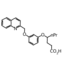 CCCC(CCC(=O)O)Oc1cccc(OCc2ccc3ccccc3n2)c1